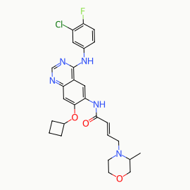 CC1COCCN1CC=CC(=O)Nc1cc2c(Nc3ccc(F)c(Cl)c3)ncnc2cc1OC1CCC1